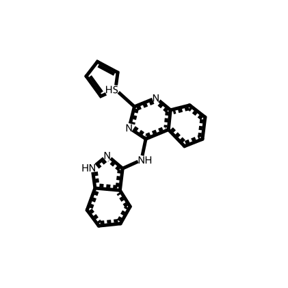 C1=C[SH](c2nc(Nc3n[nH]c4ccccc34)c3ccccc3n2)C=C1